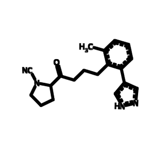 Cc1cccc(-c2cn[nH]c2)c1CCCC(=O)C1CCCN1C#N